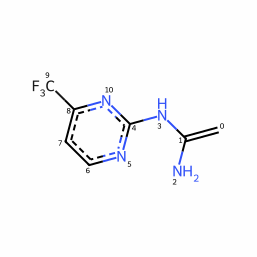 C=C(N)Nc1nccc(C(F)(F)F)n1